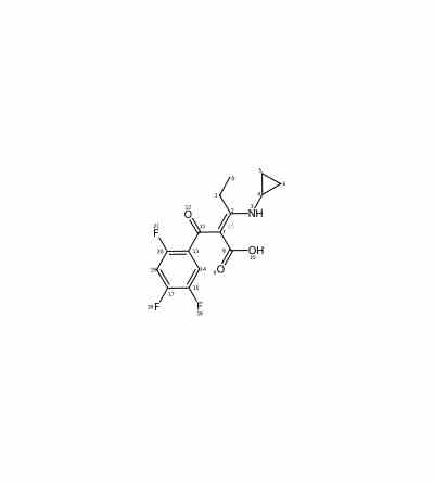 CC/C(NC1CC1)=C(/C(=O)O)C(=O)c1cc(F)c(F)cc1F